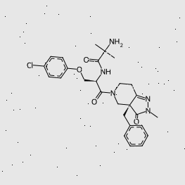 CN1N=C2CCN(C(=O)[C@@H](COc3ccc(Cl)cc3)NC(=O)C(C)(C)N)C[C@@]2(Cc2ccccc2)C1=O